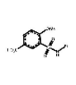 CCNS(=O)(=O)c1cc(C(=O)O)ccc1OC